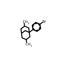 CC1CC2CC(C)CC(c3ccc(Br)cc3)(C1)C2